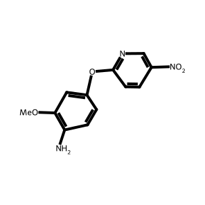 COc1cc(Oc2ccc([N+](=O)[O-])cn2)ccc1N